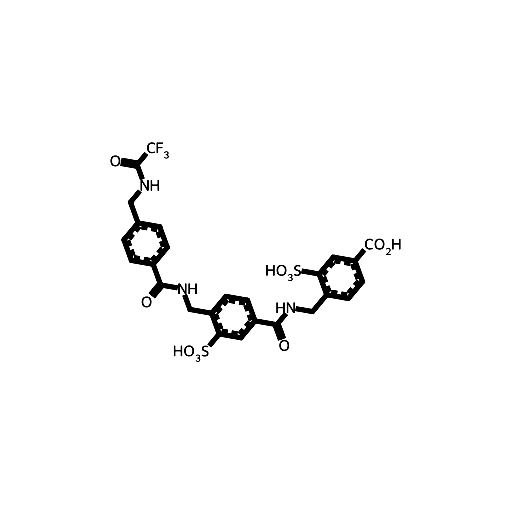 O=C(O)c1ccc(CNC(=O)c2ccc(CNC(=O)c3ccc(CNC(=O)C(F)(F)F)cc3)c(S(=O)(=O)O)c2)c(S(=O)(=O)O)c1